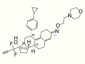 C#CC(F)(F)[C@]1(O)CC[C@H]2[C@@H]3CCC4=C/C(=N/OCCN5CCOCC5)CCC4=C3[C@@H](c3ccc(C4CC4)cc3)C[C@@]21C